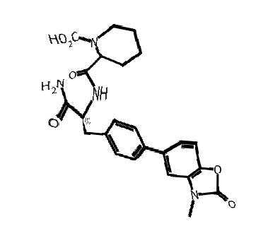 Cn1c(=O)oc2ccc(-c3ccc(C[C@H](NC(=O)C4CCCCN4C(=O)O)C(N)=O)cc3)cc21